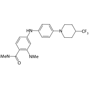 CNC(=O)c1ccc(Nc2ccc(N3CCC(C(F)(F)F)CC3)cc2)cc1NC